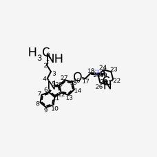 CNCCCn1c2ccccc2c2ccc(OC/C=C3\CN4CCC3CC4)cc21